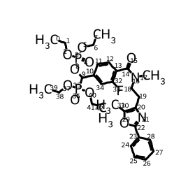 CCOP(=O)(OCC)OC(c1ccc(C(=O)N(C)CCc2nc(-c3ccccc3)oc2C)c(F)c1)P(=O)(OCC)OCC